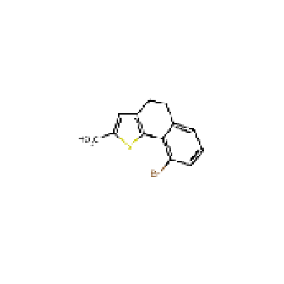 O=C(O)c1cc2c(s1)-c1c(Br)cccc1CC2